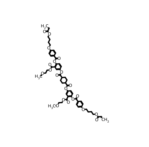 C=CC(=O)OCCCCOc1ccc(C(=O)Oc2ccc(OC(=O)C3CCC(C(=O)Oc4ccc(OC(=O)c5ccc(OCCCCOC(=O)C=C)cc5)c(C(=O)OCCOC)c4)CC3)cc2C(=O)OCCOC)cc1